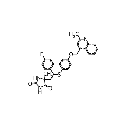 Cc1cc(COc2ccc(SC(CC3(C)NC(=O)NC3=O)c3ccc(F)cc3)cc2)c2ccccc2n1